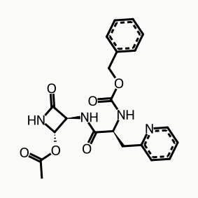 CC(=O)O[C@@H]1NC(=O)[C@H]1NC(=O)[C@H](Cc1ccccn1)NC(=O)OCc1ccccc1